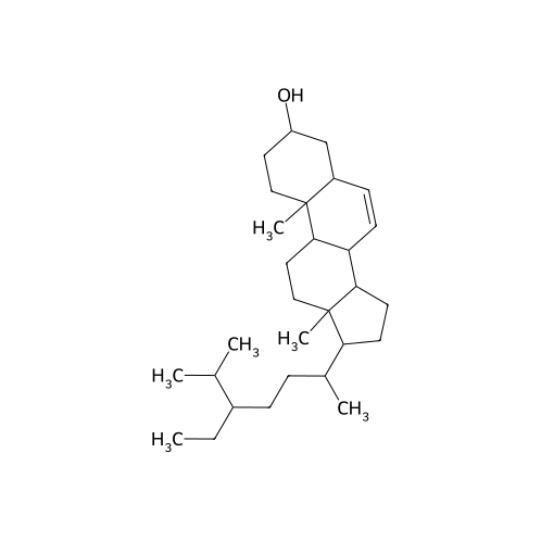 CCC(CCC(C)C1CCC2C3C=CC4CC(O)CCC4(C)C3CCC12C)C(C)C